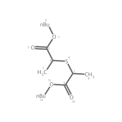 CCCCOC(=O)C(C)SC(C)C(=O)OCCCC